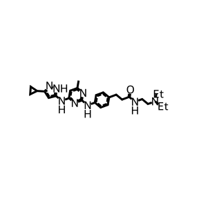 CCN(CC)CCNC(=O)CCc1ccc(Nc2nc(C)cc(Nc3cc(C4CC4)n[nH]3)n2)cc1